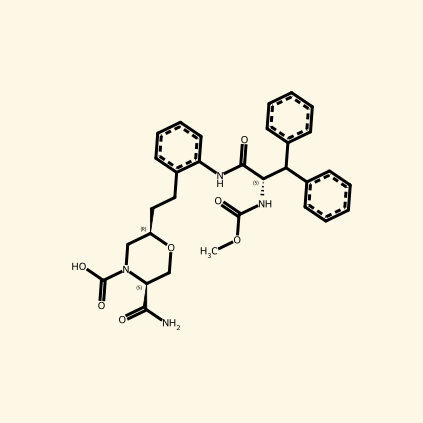 COC(=O)N[C@H](C(=O)Nc1ccccc1CC[C@@H]1CN(C(=O)O)[C@H](C(N)=O)CO1)C(c1ccccc1)c1ccccc1